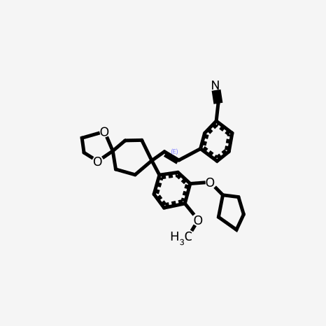 COc1ccc(C2(/C=C/c3cccc(C#N)c3)CCC3(CC2)OCCO3)cc1OC1CCCC1